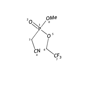 COP(=O)(CC#N)OCC(F)(F)F